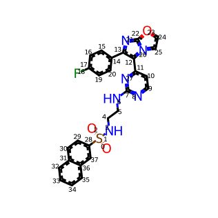 O=S(=O)(NCCNc1nccc(-c2c(-c3ccc(F)cc3)nc3occn23)n1)c1ccc2ccccc2c1